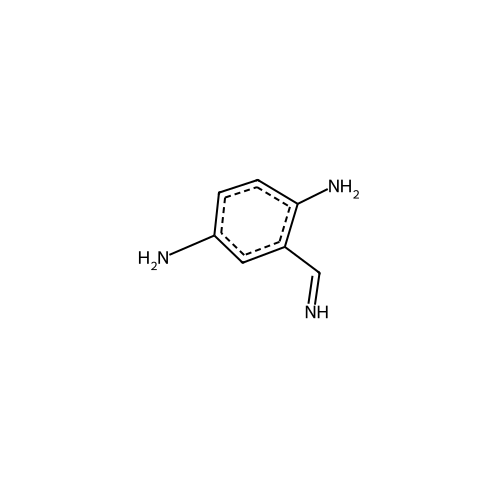 N=Cc1cc(N)ccc1N